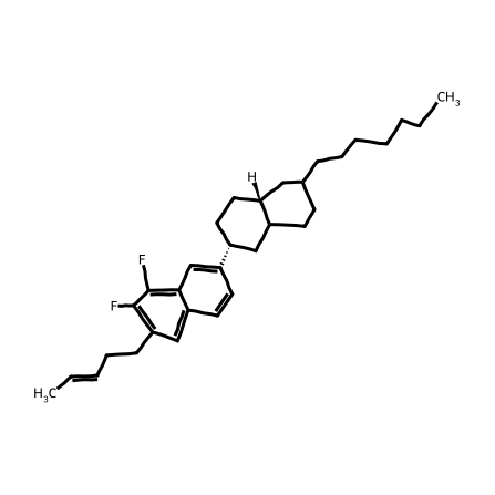 C/C=C/CCc1cc2ccc([C@@H]3CC[C@@H]4CC(CCCCCCC)CCC4C3)cc2c(F)c1F